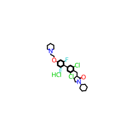 Cl.O=C1C(Cc2c(Cl)cc(-c3c(F)cc(OCCN4CCCCC4)cc3F)cc2Cl)CCN1C1CCCCC1